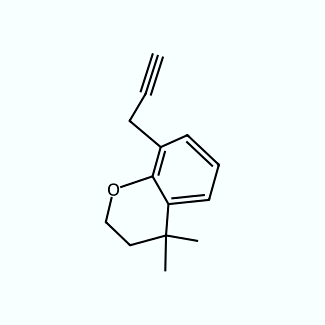 C#CCc1cccc2c1OCCC2(C)C